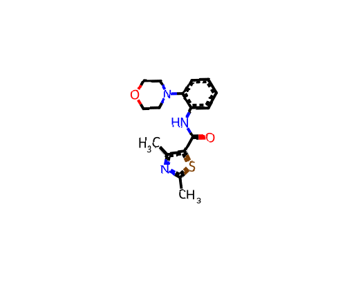 Cc1nc(C)c(C(=O)Nc2ccccc2N2CCOCC2)s1